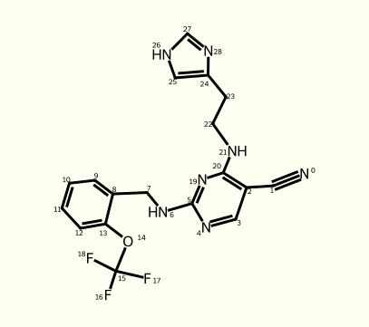 N#Cc1cnc(NCc2ccccc2OC(F)(F)F)nc1NCCc1c[nH]cn1